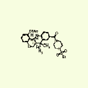 CCS(=O)(=O)N1CCN(C(=O)c2ccc3c(c2)C(C)(C)[C@H]2COc4cccc(OC)c4[C@H]2N3)CC1